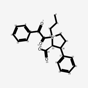 CCC[N+]1(C(=O)C(=O)c2ccccc2)CCC(c2ccccc2)[C@H]1C(=O)[O-]